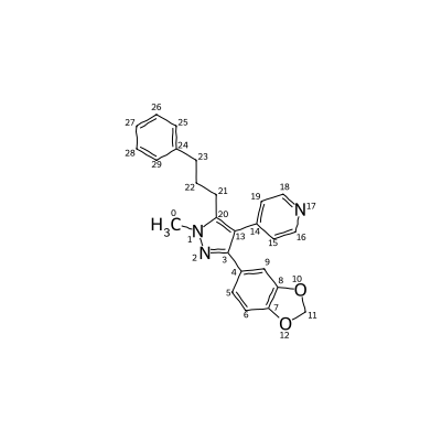 Cn1nc(-c2ccc3c(c2)OCO3)c(-c2ccncc2)c1CCCc1ccccc1